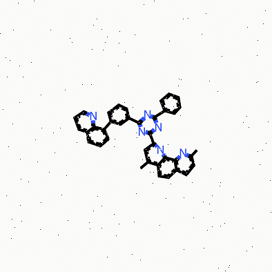 Cc1ccc2ccc3c(C)cc(-c4nc(-c5ccccc5)nc(-c5cccc(-c6cccc7cccnc67)c5)n4)nc3c2n1